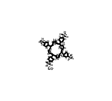 C[N+](C)(C)c1ccc(-c2c3nc(c(-c4ccc([N+](C)(C)C)cc4)c4ccc([nH]4)c(-c4ccc([N+](C)(C)C)cc4)c4nc(c(-c5ccc([N+](C)(C)C)cc5)c5ccc2[nH]5)C=C4)C=C3)cc1.[Co]